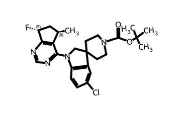 C[C@@H]1C[C@@H](F)c2ncnc(N3CC4(CCN(C(=O)OC(C)(C)C)CC4)c4cc(Cl)ccc43)c21